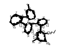 Cc1cccc(-c2ccccc2-c2cccc(-c3ccccc3-c3cc(C)ccc3O)n2)c1